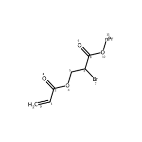 C=CC(=O)OCC(Br)C(=O)OCCC